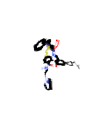 Cc1cccc(CN2C(=O)/C(=C/c3ccccc3)Sc3ccc(C(=O)NCCN4CCCC4)cc32)c1